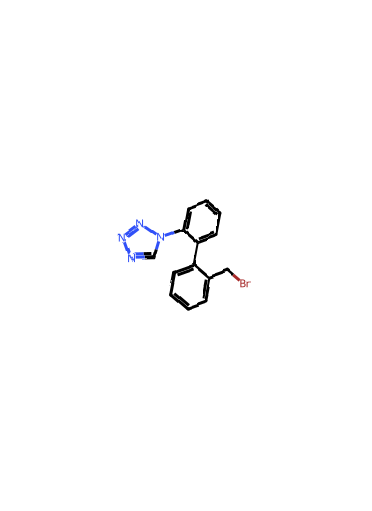 BrCc1ccccc1-c1ccccc1-n1cnnn1